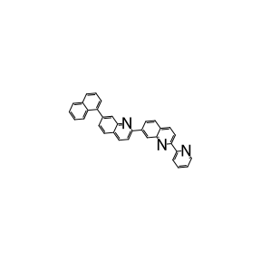 c1ccc(-c2ccc3ccc(-c4ccc5ccc(-c6cccc7ccccc67)cc5n4)cc3n2)nc1